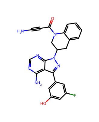 NC#CC(=O)N1CC(n2nc(-c3cc(O)cc(F)c3)c3c(N)ncnc32)Cc2ccccc21